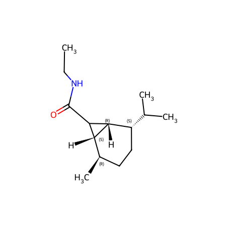 CCNC(=O)C1[C@@H]2[C@H]1[C@H](C(C)C)CC[C@H]2C